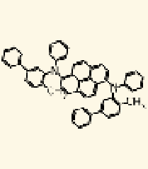 Cc1ccc(-c2ccccc2)cc1N(c1ccccc1)c1ccc2ccc3c(N(c4ccccc4)c4cc(-c5ccccc5)ccc4C)ccc4ccc1c2c43